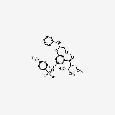 CCC(Nc1ccncc1)Oc1cc(C)cc(C(=O)N(CC)C(C)C)c1.Cc1ccc(S(=O)(=O)O)cc1